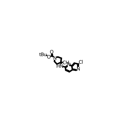 CC1(Nc2ccc3cnc(Cl)cc3n2)CCN(C(=O)OC(C)(C)C)CC1